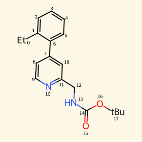 CCc1ccccc1-c1ccnc(CNC(=O)OC(C)(C)C)c1